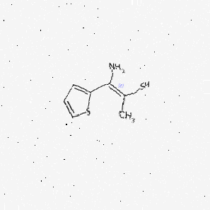 C/C(S)=C(/N)c1cccs1